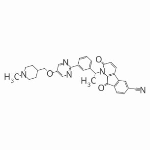 C[C@H](c1cccc(-c2ncc(OCC3CCN(C)CC3)cn2)c1)n1c2c(ccc1=O)-c1cc(C#N)ccc1C2=O